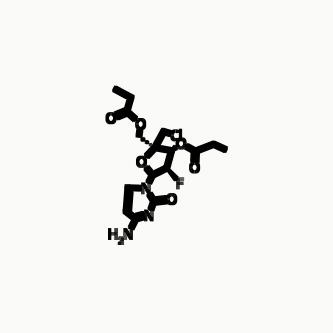 CCC(=O)OC[C@@]1(CCl)OC(n2ccc(N)nc2=O)[C@H](F)[C@@H]1OC(=O)CC